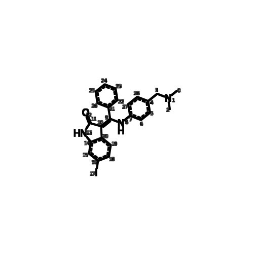 CN(C)Cc1ccc(NC(=C2C(=O)Nc3cc(I)ccc32)c2ccccc2)cc1